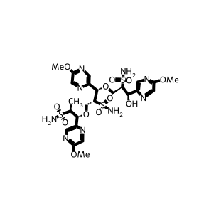 COc1cnc([C@@H](O)[C@@H](CO[C@@H](c2cnc(OC)cn2)[C@@H](CO[C@H](c2cnc(OC)cn2)[C@H](C)S(N)(=O)=O)S(N)(=O)=O)S(N)(=O)=O)cn1